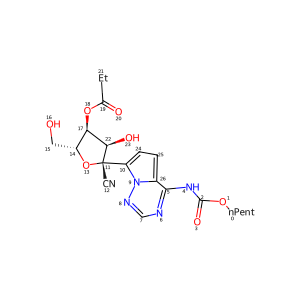 CCCCCOC(=O)Nc1ncnn2c([C@]3(C#N)O[C@H](CO)[C@@H](OC(=O)CC)[C@H]3O)ccc12